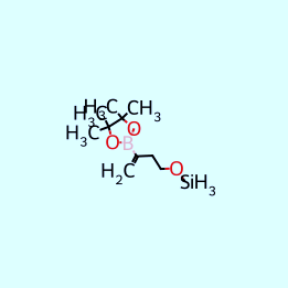 C=C(CCO[SiH3])B1OC(C)(C)C(C)(C)O1